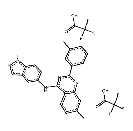 Cc1cccc(-c2nc(Nc3ccc4[nH]ncc4c3)c3ccc(C)cc3n2)c1.O=C(O)C(F)(F)F.O=C(O)C(F)(F)F